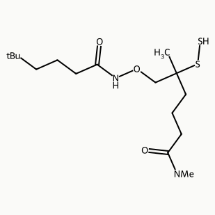 CNC(=O)CCCC(C)(CONC(=O)CCCC(C)(C)C)SS